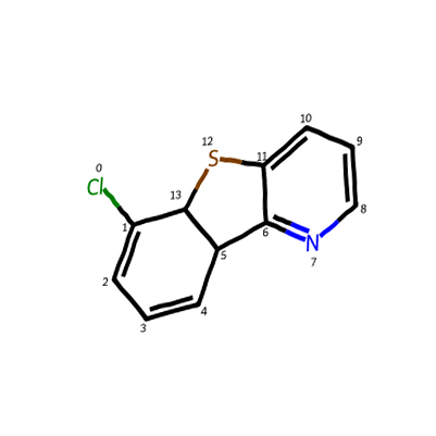 ClC1=CC=CC2c3ncccc3SC12